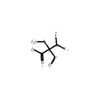 O=C(Cl)C(CCl)(CC(F)(F)F)C(F)F